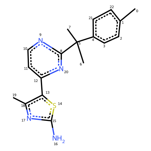 Cc1ccc(C(C)(C)c2nccc(-c3sc(N)nc3C)n2)cc1